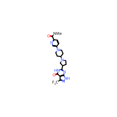 CNC(=O)c1ccc(N2CCC(N3CCC(c4nc5[nH]nc(C(F)(F)F)c5c(=O)[nH]4)C3)CC2)cn1